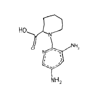 Nc1cnc(N2CCCCC2C(=O)O)c(N)c1